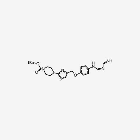 CC(C)(C)OC(=O)N1CCC(c2nc(COc3ccc(N/C=N\C=N)cc3)cs2)CC1